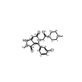 CN1CCN(C(=O)Cn2c(-c3cccc(Cl)c3)c3c(=O)n(C)[nH]c3cc2=O)CC1